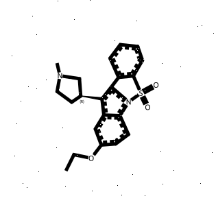 CCOc1ccc2c(c1)c([C@H]1CCN(C)C1)c1n2S(=O)(=O)c2ccccc2-1